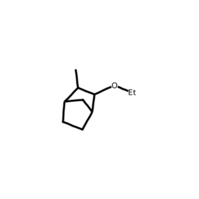 CCOC1C2CCC(C2)C1C